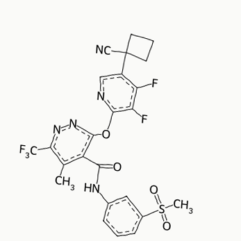 Cc1c(C(F)(F)F)nnc(Oc2ncc(C3(C#N)CCC3)c(F)c2F)c1C(=O)Nc1cccc(S(C)(=O)=O)c1